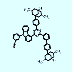 C[C@@H]1C[C@@H]2C[C@H](C)CC(c3ccc(-c4cccc(-c5nc(-c6ccc(C78C[C@H](C)C[C@H](C[C@H](C)C7)C8)cc6)nc(-c6cccc7c6c6ccccc6n7-c6cccc(C#N)c6)n5)c4)cc3)(C1)C2